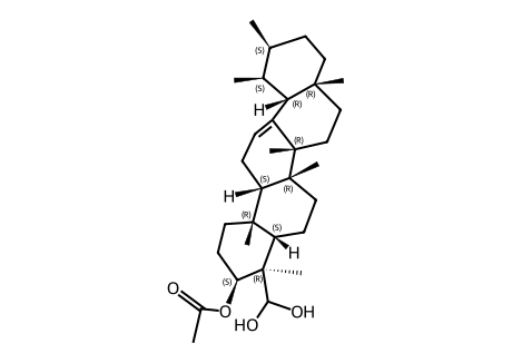 CC(=O)O[C@H]1CC[C@@]2(C)[C@H](CC[C@]3(C)[C@H]2CC=C2[C@@H]4[C@@H](C)[C@@H](C)CC[C@]4(C)CC[C@@]23C)[C@@]1(C)C(O)O